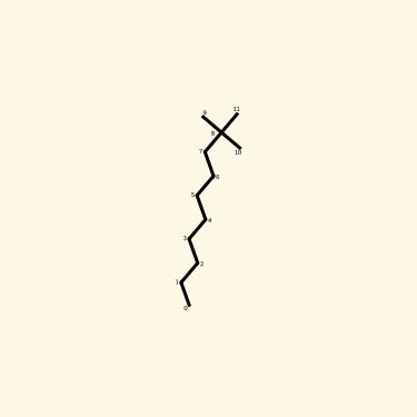 CCCCCC[CH]CC(C)(C)C